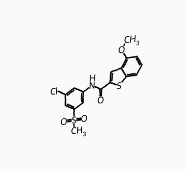 COc1cccc2sc(C(=O)Nc3cc(Cl)cc(S(C)(=O)=O)c3)cc12